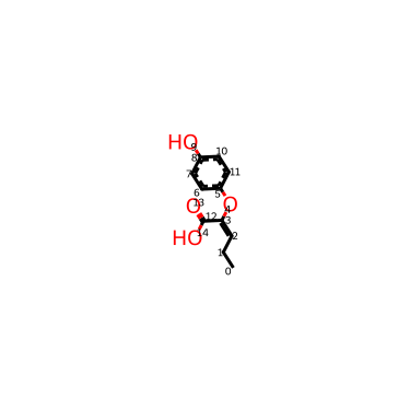 CCC=C(Oc1ccc(O)cc1)C(=O)O